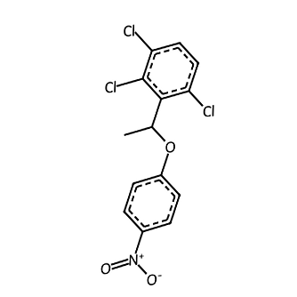 CC(Oc1ccc([N+](=O)[O-])cc1)c1c(Cl)ccc(Cl)c1Cl